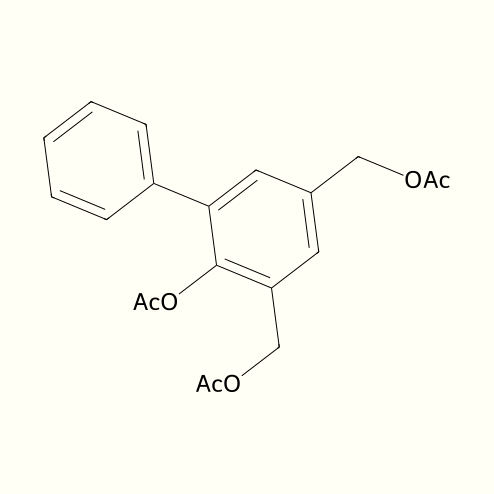 CC(=O)OCc1cc(COC(C)=O)c(OC(C)=O)c(-c2ccccc2)c1